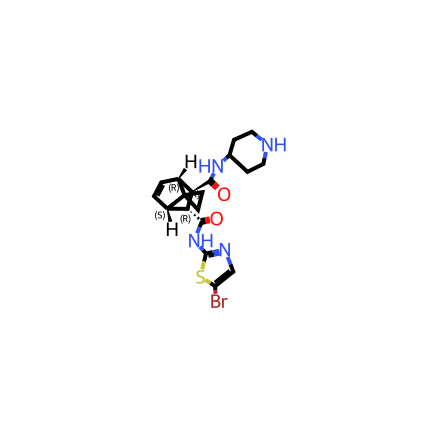 O=C(NC1CCNCC1)[C@H]1[C@H](C(=O)Nc2ncc(Br)s2)[C@@H]2C=C[C@H]1C21CC1